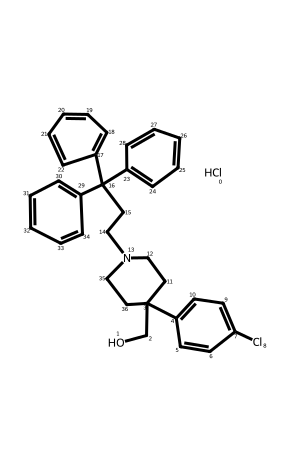 Cl.OCC1(c2ccc(Cl)cc2)CCN(CCC(c2ccccc2)(c2ccccc2)c2ccccc2)CC1